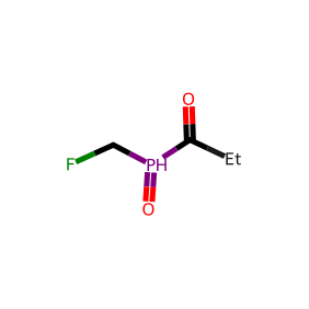 CCC(=O)[PH](=O)CF